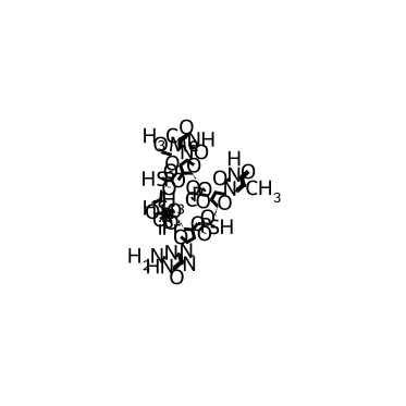 COCCOC1C(OP(=O)(S)OCCCO)[C@@H](COP(C)(=O)OC2C[C@H](n3cc(C)c(=O)[nH]c3=O)O[C@@H]2COP(=O)(S)OC2C[C@H](n3cnc4c(=O)[nH]c(N)nc43)O[C@@H]2COP(=O)(S)OC(C)C)O[C@H]1n1cc(C)c(=O)[nH]c1=O